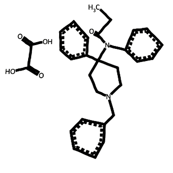 CCC(=O)N(c1ccccc1)C1(c2ccccc2)CCN(Cc2ccccc2)CC1.O=C(O)C(=O)O